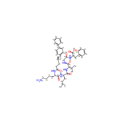 C#CCCC(=O)N[C@H](CCCCN)C(=O)N[C@H](CCC(C)C)C(=O)N[C@@H](C(=O)N[C@H](Cc1ccc(-c2ccccc2)cc1)C(=O)N[C@H](Cc1ccccc1)C(=O)O)C(C)C